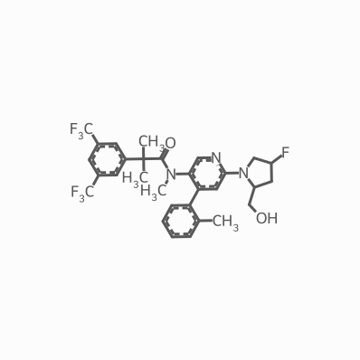 Cc1ccccc1-c1cc(N2CC(F)CC2CO)ncc1N(C)C(=O)C(C)(C)c1cc(C(F)(F)F)cc(C(F)(F)F)c1